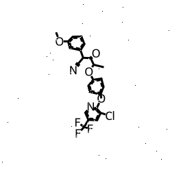 COc1cccc(C(C#N)C(=O)C(C)Oc2ccc(Oc3ncc(C(F)(F)F)cc3Cl)cc2)c1